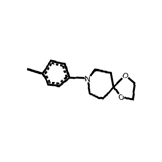 Cc1ccc(N2CCC3(CC2)OCCO3)cc1